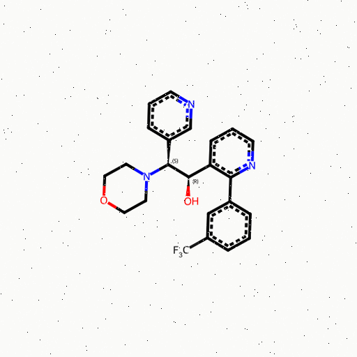 O[C@H](c1cccnc1-c1cccc(C(F)(F)F)c1)[C@H](c1cccnc1)N1CCOCC1